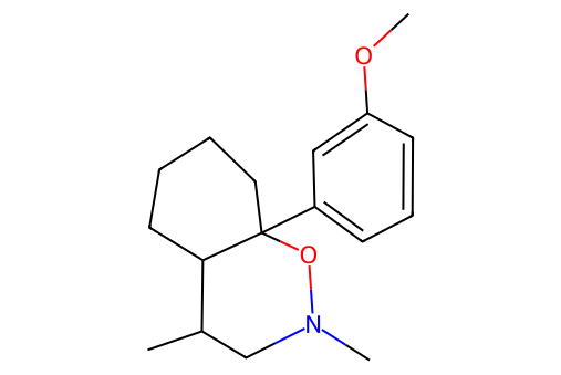 COc1cccc(C23CCCCC2C(C)CN(C)O3)c1